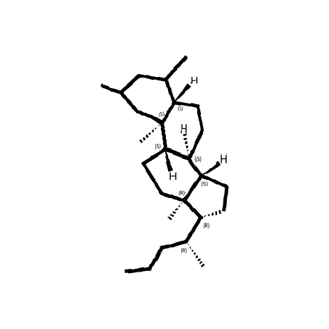 CCC[C@@H](C)[C@H]1CC[C@H]2[C@@H]3CC[C@H]4C(C)CC(C)C[C@]4(C)[C@H]3CC[C@]12C